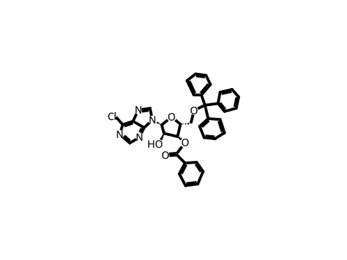 O=C(O[C@H]1[C@@H](O)[C@H](n2cnc3c(Cl)ncnc32)O[C@@H]1COC(c1ccccc1)(c1ccccc1)c1ccccc1)c1ccccc1